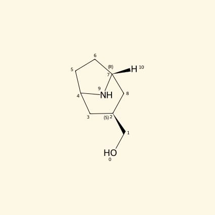 OC[C@H]1CC2CC[C@H](C1)N2